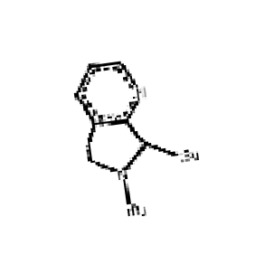 CC(C)(C)C1c2ncccc2CN1C(C)(C)C